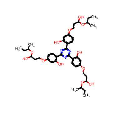 CCC(C)OC(O)CCOc1ccc(-c2nc(-c3ccc(OCCC(O)OC(C)CC)cc3O)nc(-c3ccc(OCCC(O)OC(C)CC)cc3O)n2)c(O)c1